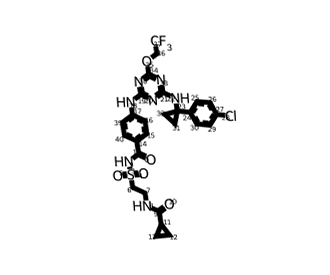 O=C(NS(=O)(=O)CCNC(=O)C1CC1)c1ccc(Nc2nc(NC3(c4ccc(Cl)cc4)CC3)nc(OCC(F)(F)F)n2)cc1